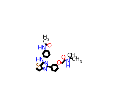 CC(=O)Nc1cccc(Nc2nc(-c3cccc(OCC(=O)NC(C)C)c3)nc3ccsc23)c1